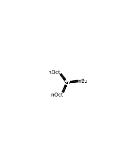 CCCCCCC[CH2][Sn]([CH2]CCC)[CH2]CCCCCCC